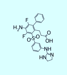 Nc1c(F)c(-c2ccccc2)c(CCC(=O)O)c(S(=O)(=O)c2cccc(NC3=NCCN3)c2)c1F